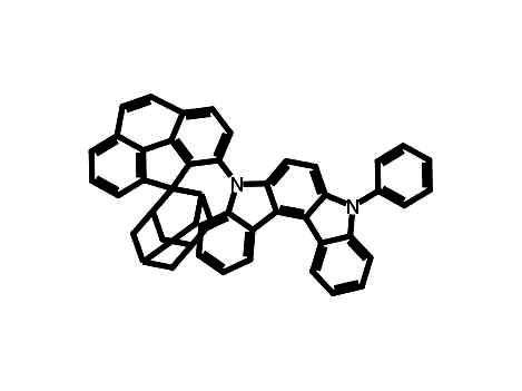 c1ccc(-n2c3ccccc3c3c4c5ccccc5n(-c5ccc6ccc7cccc8c7c6c5C85C6CC7CC(C6)CC5C7)c4ccc32)cc1